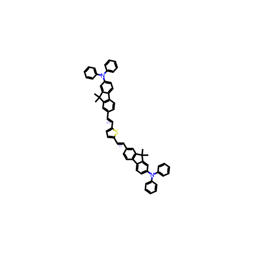 CC1(C)c2cc(/C=C/c3ccc(/C=C/c4ccc5c(c4)C(C)(C)c4cc(N(c6ccccc6)c6ccccc6)ccc4-5)s3)ccc2-c2ccc(N(c3ccccc3)c3ccccc3)cc21